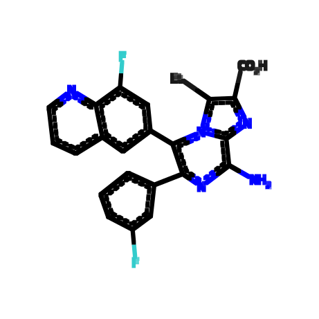 CCc1c(C(=O)O)nc2c(N)nc(-c3cccc(F)c3)c(-c3cc(F)c4ncccc4c3)n12